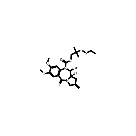 C=C1C[C@H]2C(O)N(C(=O)OCC(C)(C)SSCC)c3cc(OC)c(OC)cc3C(=O)N2C1